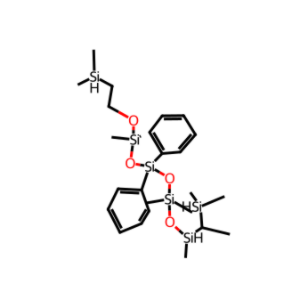 CC([SiH](C)C)[SiH](C)O[Si](C)(C)O[Si](O[Si](C)(C)OCC[SiH](C)C)(c1ccccc1)c1ccccc1